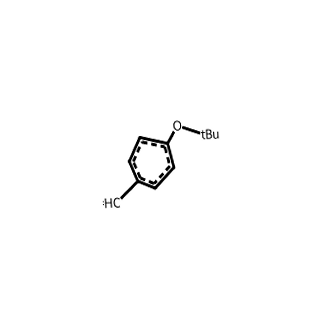 [CH]c1ccc(OC(C)(C)C)cc1